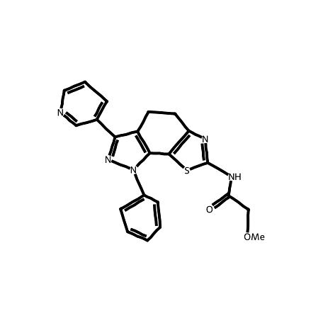 COCC(=O)Nc1nc2c(s1)-c1c(c(-c3cccnc3)nn1-c1ccccc1)CC2